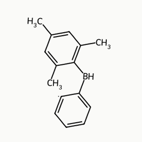 Cc1cc(C)c(Bc2[c]cccc2)c(C)c1